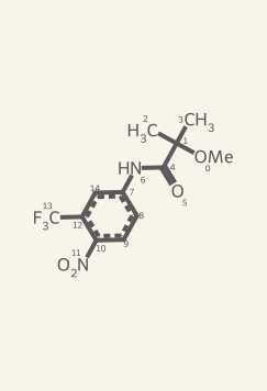 COC(C)(C)C(=O)Nc1ccc([N+](=O)[O-])c(C(F)(F)F)c1